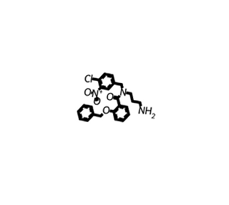 NCCCN(Cc1ccc(Cl)c([N+](=O)[O-])c1)C(=O)c1ccccc1OCc1ccccc1